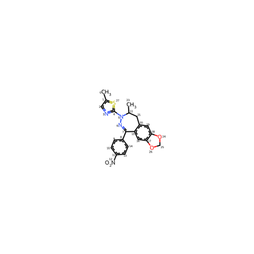 Cc1cnc(N2N=C(c3ccc([N+](=O)[O-])cc3)c3cc4c(cc3CC2C)OCO4)s1